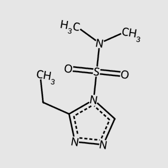 CCc1nncn1S(=O)(=O)N(C)C